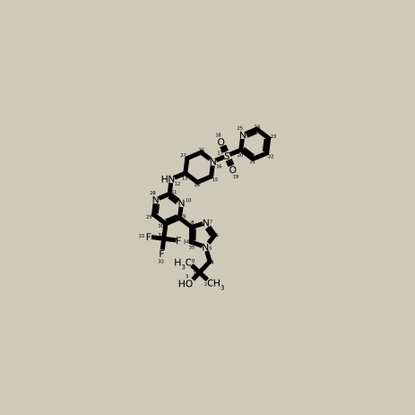 CC(C)(O)Cn1cnc(-c2nc(NC3CCN(S(=O)(=O)c4ccccn4)CC3)ncc2C(F)(F)F)c1